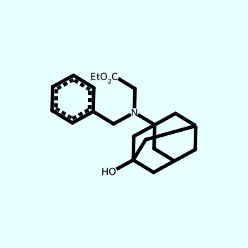 CCOC(=O)CN(Cc1ccccc1)C12CC3CC(CC(O)(C3)C1)C2